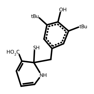 CC(C)(C)c1cc(CC2(S)NC=CC=C2C(=O)O)cc(C(C)(C)C)c1O